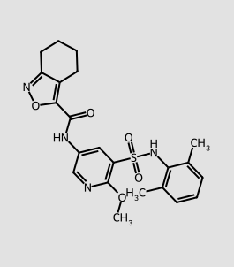 COc1ncc(NC(=O)c2onc3c2CCCC3)cc1S(=O)(=O)Nc1c(C)cccc1C